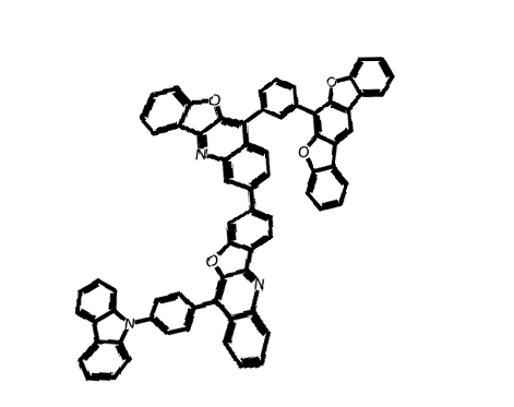 c1cc(-c2c3oc4ccccc4c3cc3c2oc2ccccc23)cc(-c2c3ccc(-c4ccc5c(c4)oc4c(-c6ccc(-n7c8ccccc8c8ccccc87)cc6)c6ccccc6nc45)cc3nc3c2oc2ccccc23)c1